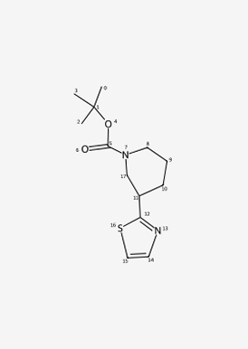 CC(C)(C)OC(=O)N1CCCC(c2nccs2)C1